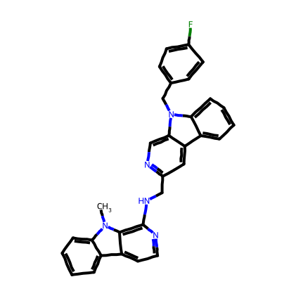 Cn1c2ccccc2c2ccnc(NCc3cc4c5ccccc5n(Cc5ccc(F)cc5)c4cn3)c21